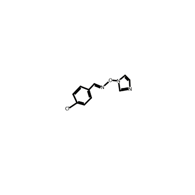 Clc1ccc(C=NOn2ccnc2)cc1